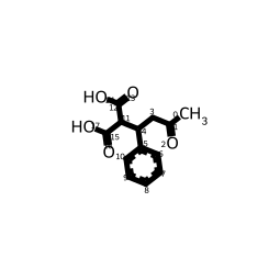 CC(=O)CC(c1ccccc1)C(C(=O)O)C(=O)O